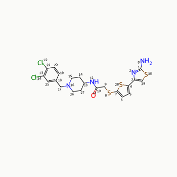 Nc1nc(-c2ccc(SCC(=O)NC3CCN(Cc4ccc(Cl)c(Cl)c4)CC3)s2)cs1